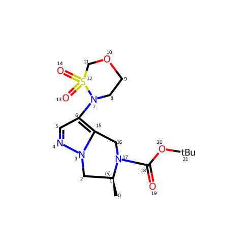 C[C@H]1Cn2ncc(N3CCOCS3(=O)=O)c2CN1C(=O)OC(C)(C)C